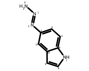 NN=Nc1ccc2[nH]ccc2c1